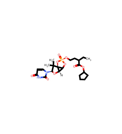 CCC(CCO[P@@]1(=O)OC2[C@H]3O[C@@H](n4ccc(=O)[nH]c4=O)C(C)(C)[C@]23O1)C(=O)OC1CCCC1